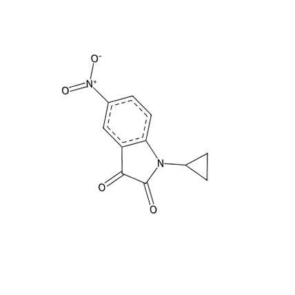 O=C1C(=O)N(C2CC2)c2ccc([N+](=O)[O-])cc21